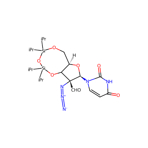 CC(C)[Si]1(C(C)C)OC[C@H]2O[C@@H](n3ccc(=O)[nH]c3=O)[C@](C=O)(N=[N+]=[N-])C2O[Si](C(C)C)(C(C)C)O1